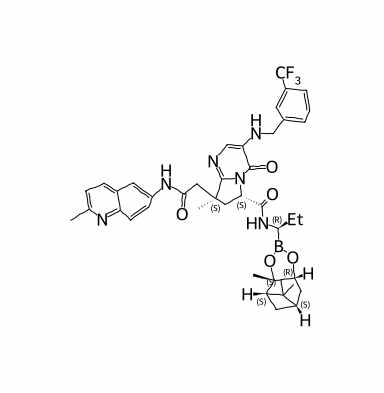 CC[C@H](NC(=O)[C@@H]1C[C@@](C)(CC(=O)Nc2ccc3nc(C)ccc3c2)c2ncc(NCc3cccc(C(F)(F)F)c3)c(=O)n21)B1O[C@@H]2C[C@@H]3C[C@@H](C3(C)C)[C@]2(C)O1